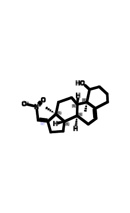 C[C@]12CC[C@H]3[C@@H](CC=C4CCCC(O)[C@@]43C)[C@@H]1CC/C2=C/[N+](=O)[O-]